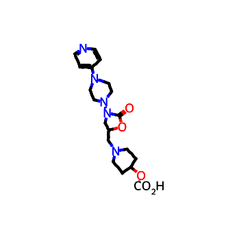 O=C(O)OC1CCN(CC2CN(N3CCN(c4ccncc4)CC3)C(=O)O2)CC1